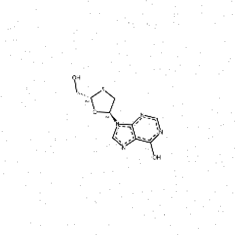 OC[C@H]1O[C@H](n2cnc3c(O)ncnc32)CS1